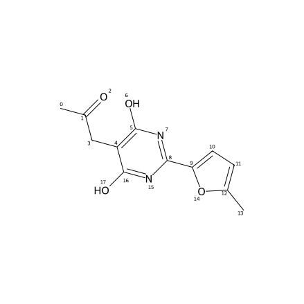 CC(=O)Cc1c(O)nc(-c2ccc(C)o2)nc1O